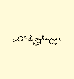 CC1=C(NC(=O)COc2ccc(Cl)cc2)CC1(C)NC(=O)COc1ccc(Cl)c(C)c1